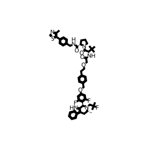 Cc1ncsc1-c1ccc(CNC(=O)[C@@H]2CCCN2C(=O)[C@@H](NC(=O)COCCc2ccc(COc3cc(F)c([C@@H]4c5[nH]c6ccccc6c5C[C@@H](C)N4CC(C)(C)F)c(F)c3)cc2)C(C)(C)C)cc1